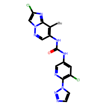 CCC(C)c1c(NC(=O)Nc2cnc(-n3ccnn3)c(Cl)c2)cnn2cc(Cl)nc12